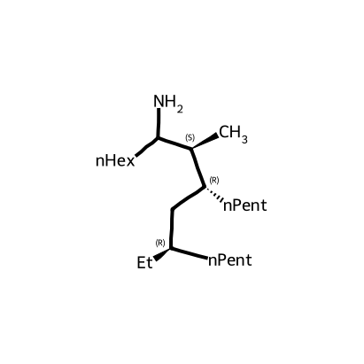 CCCCCCC(N)[C@@H](C)[C@H](CCCCC)C[C@H](CC)CCCCC